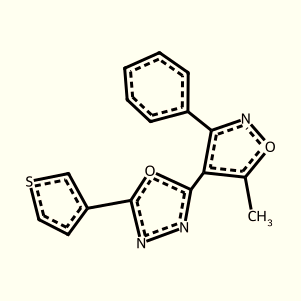 Cc1onc(-c2ccccc2)c1-c1nnc(-c2ccsc2)o1